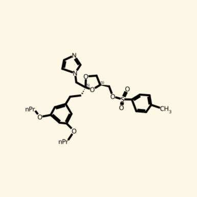 CCCOc1cc(CC[C@]2(Cn3ccnc3)OC[C@@H](COS(=O)(=O)c3ccc(C)cc3)O2)cc(OCCC)c1